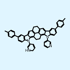 Cc1ccc(-c2ccc3c(c2)c2cc4c5c(c2n3C2=CNCC=C2)CCc2c-5c(cc3c5cc(-c6ccc(C)cc6)ccc5n(-c5cccnc5)c23)CC4)cc1